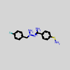 NSc1ccc(/C(N)=N/N(N)Cc2ccc(F)cc2)cc1